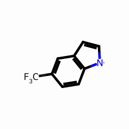 FC(F)(F)c1ccc2c(c1)C=C[N]2